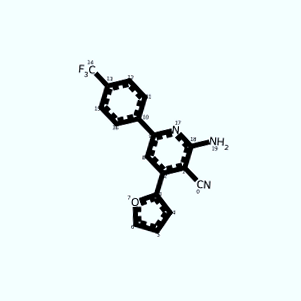 N#Cc1c(-c2ccco2)cc(-c2ccc(C(F)(F)F)cc2)nc1N